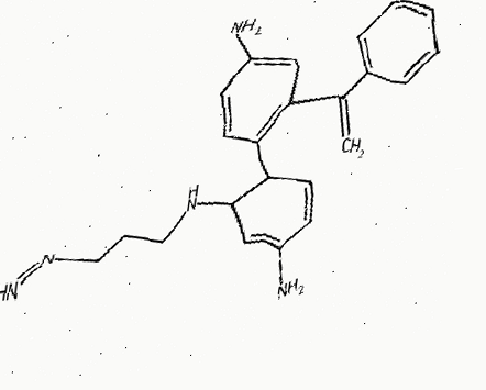 C=C(c1ccccc1)c1cc(N)ccc1C1C=CC(N)=CC1NCCCN=N